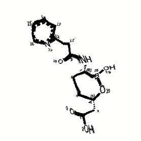 O=C(O)C[C@@H]1CC[C@H](NC(=O)Cc2ccccn2)B(O)O1